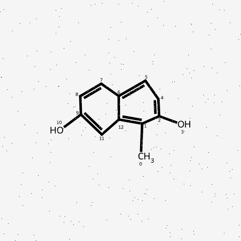 Cc1c(O)ccc2ccc(O)cc12